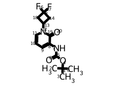 CC(C)(C)OC(=O)Nc1cccn(C2CC(F)(F)C2)c1=O